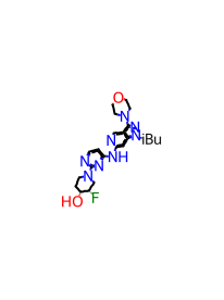 CC[C@H](C)n1nc(N2CCOCC2)c2cnc(Nc3ccnc(N4CC[C@@H](O)[C@@H](F)C4)n3)cc21